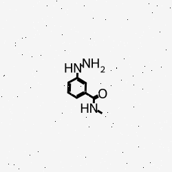 CNC(=O)c1cccc(NN)c1